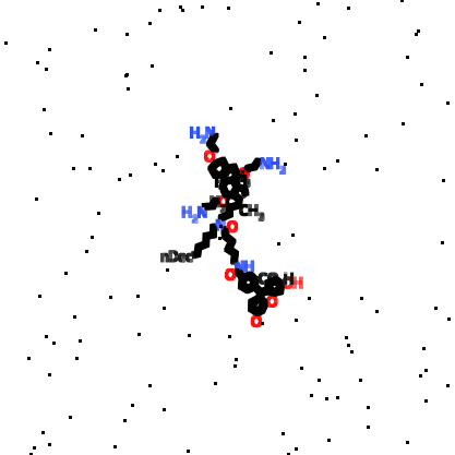 CCCCCCCCCCCCCCCCN(CCC[C@@H](C)[C@H]1CC[C@H]2C3[C@H](OCCCN)CC4C[C@H](OCCCN)CCC4(C)[C@H]3C[C@H](OCCCN)C12C)C(=O)CCCCCNC(=O)c1ccc(-c2c3ccc(=O)cc-3oc3cc(O)ccc23)c(C(=O)O)c1